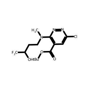 CN(CCC(O)C(F)(F)F)c1nnc(Cl)cc1C(=O)OC(C)(C)C